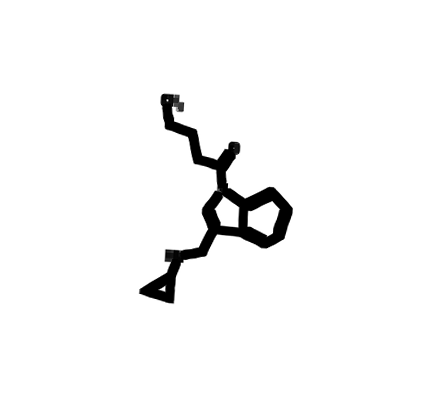 CCCCC(=O)n1cc(CNC2CC2)c2ccccc21